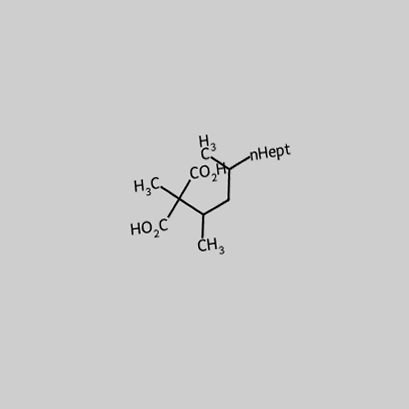 CCCCCCCC(C)CC(C)C(C)(C(=O)O)C(=O)O